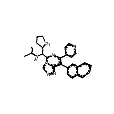 CC(C)NC(c1nc(-c2ccncc2)c(-c2ccc3ccccc3c2)c2nncn12)C1CCCN1